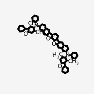 Cc1cc2oc3ccccc3c2c(C)c1N(c1ccccc1)c1ccc2cc3c(cc2c1)oc1c3ccc2c3cc4ccc(N(c5ccccc5)c5c(C)cc6oc7ccccc7c6c5C)cc4cc3oc21